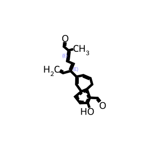 C=C/C(=C\C=C(/C)C=O)C1=Cc2ccc(O)c(C=O)c2CC=C1